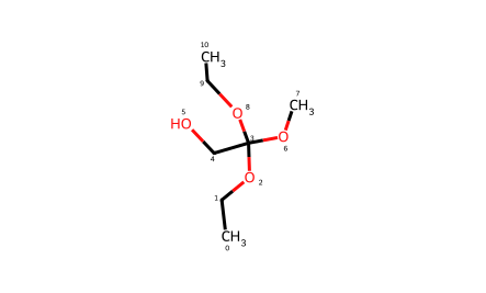 CCOC(CO)(OC)OCC